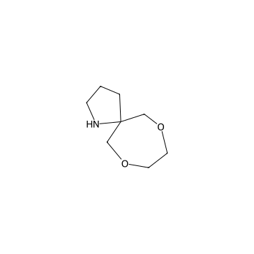 C1CNC2(C1)COCCOC2